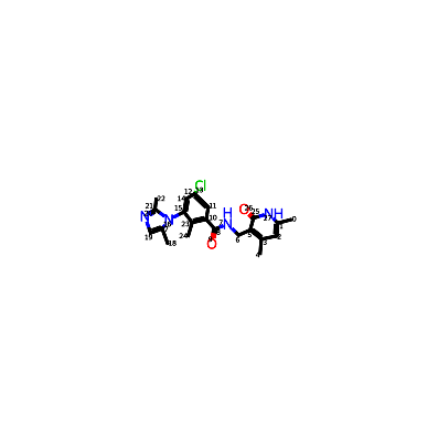 Cc1cc(C)c(CNC(=O)c2cc(Cl)cc(-n3c(C)cnc3C)c2C)c(=O)[nH]1